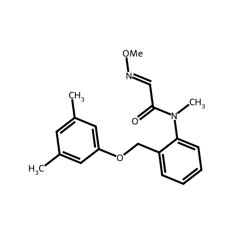 CON=CC(=O)N(C)c1ccccc1COc1cc(C)cc(C)c1